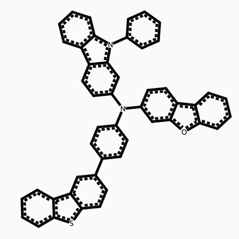 c1ccc(-n2c3ccccc3c3ccc(N(c4ccc(-c5ccc6sc7ccccc7c6c5)cc4)c4ccc5c(c4)oc4ccccc45)cc32)cc1